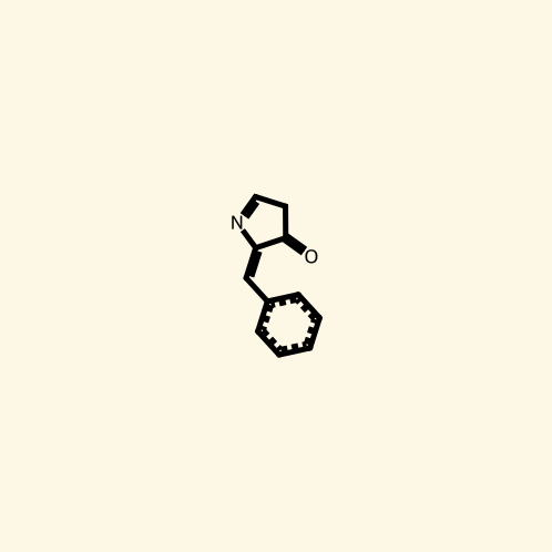 O=C1CC=NC1=Cc1ccccc1